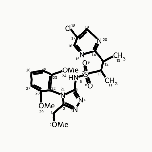 COCc1nnc(NS(=O)(=O)C(C)C(C)c2ncc(Cl)cn2)n1-c1c(OC)cccc1OC